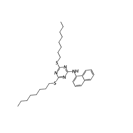 CCCCCCCCSc1nc(Nc2cccc3ccccc23)nc(SCCCCCCCC)n1